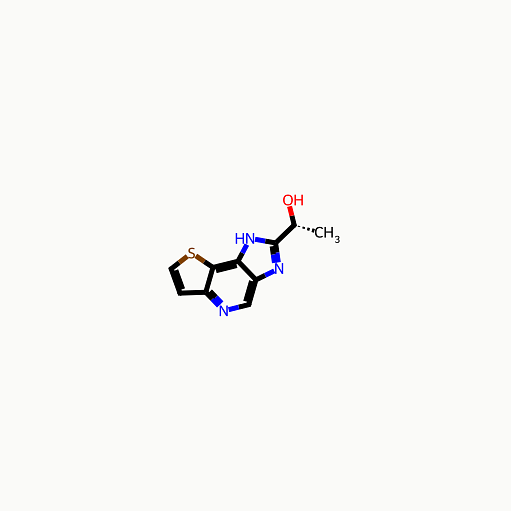 C[C@@H](O)c1nc2cnc3ccsc3c2[nH]1